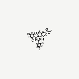 COC(=O)C1=C(c2ccc(C(=O)OC)cc2)NC(c2ncc(F)cc2F)=NC1c1ccc(F)cc1Cl